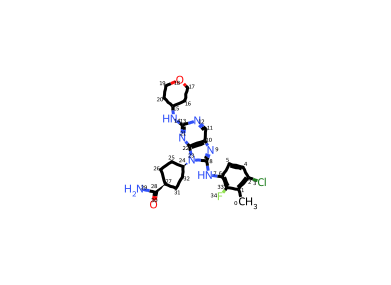 Cc1c(Cl)ccc(Nc2nc3cnc(NC4CCOCC4)nc3n2[C@H]2CC[C@H](C(N)=O)CC2)c1F